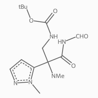 CNC(CNC(=O)OC(C)(C)C)(C(=O)NC=O)c1ccnn1C